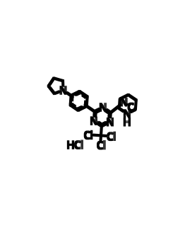 Cl.ClC(Cl)(Cl)c1nc(-c2ccc(N3CCCC3)cc2)nc(N2CC3CCC2CN3)n1